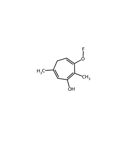 CC1=CC(O)=C(C)C(OF)=CC1